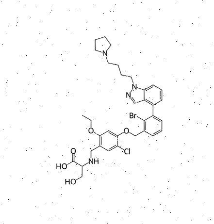 CCOc1cc(OCc2cccc(-c3cccc4c3cnn4CCCCN3CCCC3)c2Br)c(Cl)cc1CNC(CO)C(=O)O